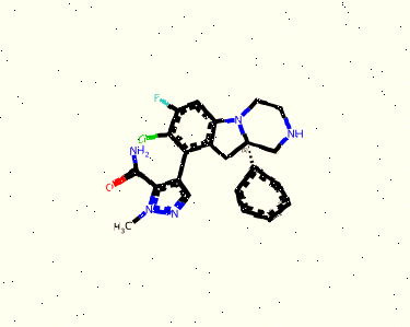 Cn1ncc(-c2c(Cl)c(F)cc3c2C[C@]2(c4ccccc4)CNCCN32)c1C(N)=O